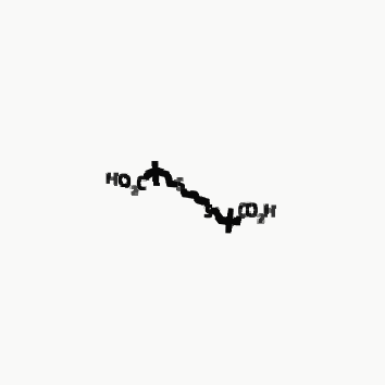 CC(C)(CCSCCCCSCCC(C)(C)CC(=O)O)CC(=O)O